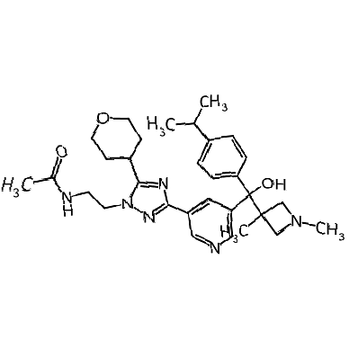 CC(=O)NCCn1nc(-c2cncc(C(O)(c3ccc(C(C)C)cc3)C3(C)CN(C)C3)c2)nc1C1CCOCC1